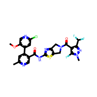 COc1cnc(Cl)cc1-c1cc(C)ncc1C(=O)Nc1nc2c(s1)CN(C(=O)c1c(C(F)F)nn(C)c1F)C2